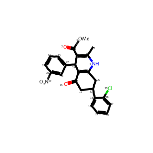 COC(=O)C1=C(C)NC2=C(C(=O)CC(c3ccccc3Cl)C2)C1c1cccc([N+](=O)[O-])c1